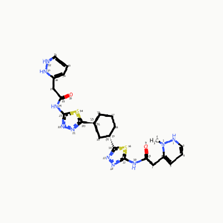 CN1NC=CC=C1CC(=O)Nc1nnc([C@H]2CCC[C@H](c3nnc(NC(=O)CC4=CC=CNN4)s3)C2)s1